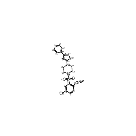 COc1ccc(Cl)cc1S(=O)(=O)N1CCN(c2nc(-c3ccccc3)cs2)CC1